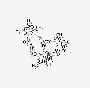 CC(=O)OC[C@@H]1S[C@H](CCCOCC(CO)(COCCC[C@H]2S[C@@H](COC(C)=O)[C@@H](OC(C)=O)[C@H](OC(C)=O)[C@@H]2OC(C)=O)COCCC[C@H]2S[C@@H](COC(C)=O)[C@@H](OC(C)=O)[C@H](OC(C)=O)[C@@H]2OC(C)=O)[C@@H](OC(C)=O)[C@@H](OC(C)=O)[C@@H]1OC(C)=O